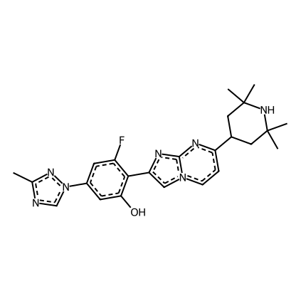 Cc1ncn(-c2cc(O)c(-c3cn4ccc(C5CC(C)(C)NC(C)(C)C5)nc4n3)c(F)c2)n1